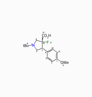 COc1ccc(C2CN(C(C)(C)C)C[C@@]2(F)C(=O)O)cc1